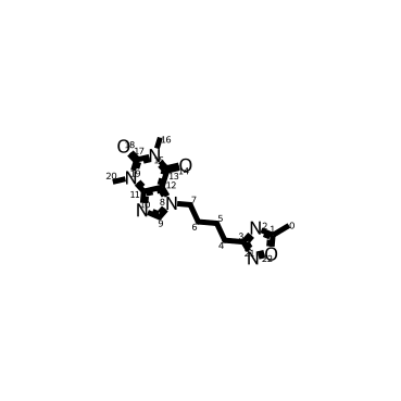 Cc1nc(CCCCn2cnc3c2c(=O)n(C)c(=O)n3C)no1